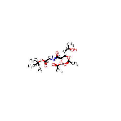 CC(=O)O[C@@H](C[C@@H](C)O)[C@@H](OC(C)=O)C(=O)NCC(=O)OC(C)(C)C